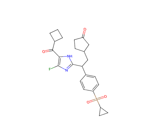 O=C1CCC(CC(c2ccc(S(=O)(=O)C3CC3)cc2)c2nc(F)c(C(=O)C3CCC3)[nH]2)C1